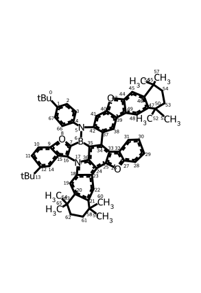 CC(C)(C)c1ccc(N2B3c4oc5ccc(C(C)(C)C)cc5c4-n4c5cc6c(cc5c5c7oc8ccccc8c7c(c3c54)-c3cc4c(cc32)oc2cc3c(cc24)C(C)(C)CCC3(C)C)C(C)(C)CCC6(C)C)cc1